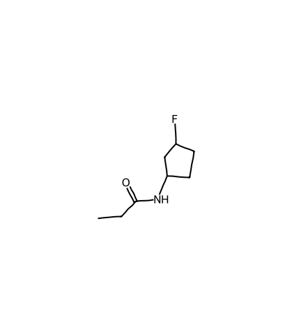 CCC(=O)NC1CCC(F)C1